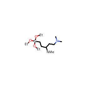 CCO[Si](CCC(CCN(C)C)NC)(OCC)OCC